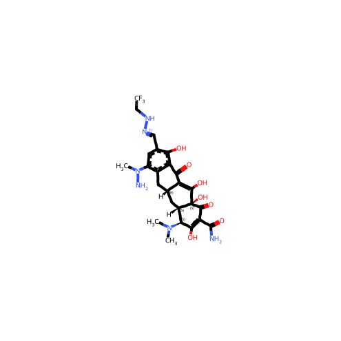 CN(N)c1cc(/C=N/NCC(F)(F)F)c(O)c2c1C[C@H]1C[C@H]3[C@H](N(C)C)C(O)=C(C(N)=O)C(=O)[C@@]3(O)C(O)=C1C2=O